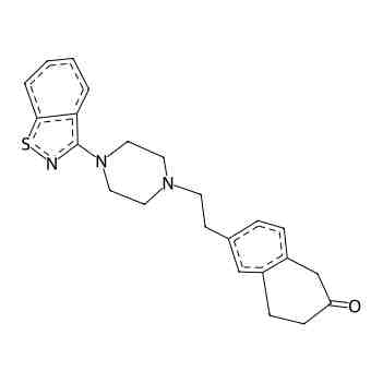 O=C1CCc2cc(CCN3CCN(c4nsc5ccccc45)CC3)ccc2C1